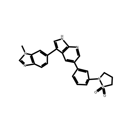 Cn1cnc2ccc(-c3c[nH]c4ncc(-c5cccc(N6CCCS6(=O)=O)c5)cc34)cc21